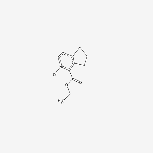 CCOC(=O)c1c2c(cc[n+]1[O-])CCC2